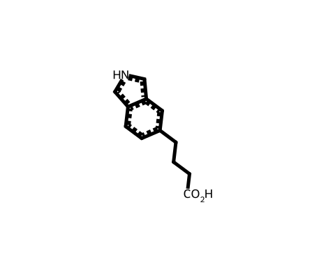 O=C(O)CCCc1ccc2c[nH]cc2c1